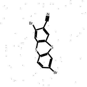 N#Cc1cc2c(cc1Br)Sc1ccc(Br)cc1S2